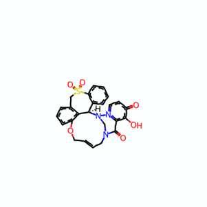 O=C1c2c(O)c(=O)ccn2N2CN1C/C=C/COc1cccc3c1[C@H]2c1ccccc1S(=O)(=O)C3